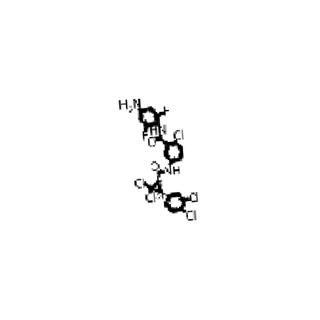 Nc1cc(F)c(NC(=O)c2cc(NC(=O)[C@H]3[C@H](c4ccc(Cl)c(Cl)c4)C3(Cl)Cl)ccc2Cl)c(F)c1